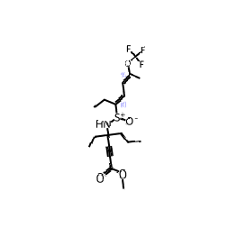 CCCC(C#CC(=O)OC)(CC)N[S+]([O-])/C(=C/C=C(\C)OC(F)(F)F)CC